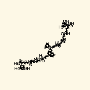 Cc1ccccc1S/C(CC1C=CN(CCCOC(=O)NCc2cn(CCC(=O)NCCCCC(C(=O)O)N(CC(=O)O)CC(=O)O)nn2)c2ccccc21)=N/CCCOC(=O)NCc1cn(CCC(=O)NCCCCC(C(=O)O)N(CC(=O)O)CC(=O)O)nn1